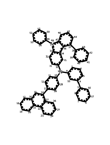 c1ccc(-c2cccc(N(c3ccc(-c4cc5ccccc5c5ccccc45)cc3)c3ccc4c(c3)c3c(-c5ccccc5)cccc3n4-c3ccccc3)c2)cc1